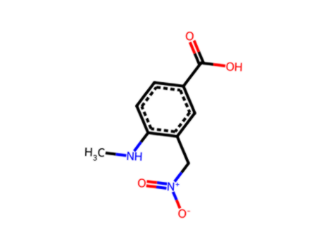 CNc1ccc(C(=O)O)cc1C[N+](=O)[O-]